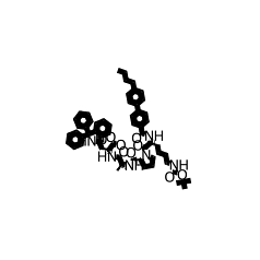 CCCCc1ccc(-c2ccc(C(=O)N[C@@H](CCCCNC(=O)OC(C)(C)C)C(=O)N3CCC[C@H]3C(=O)N[C@@H](C)C(=O)N[C@@H](CC(=O)NC(c3ccccc3)(c3ccccc3)c3ccccc3)C(=O)O)cc2)cc1